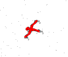 C=CC(=O)OCCCCCCOc1ccc(C(=O)Oc2cc(/C=N/Nc3cccc4ccccc34)c(OC(=O)c3ccc(OCCCCCCOC(=O)C=C)cc3)c3ccc(OCCCCCCOC(=O)C=C)cc23)cc1